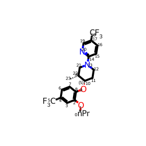 CCCOc1cc(C(F)(F)F)ccc1O[C@H]1CCN(c2ccc(C(F)(F)F)cn2)C[C@H]1C